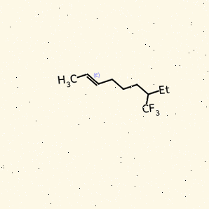 C/C=C/CCCC(CC)C(F)(F)F